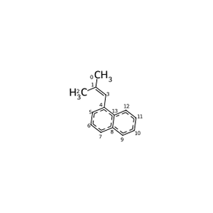 CC(C)=Cc1cccc2ccccc12